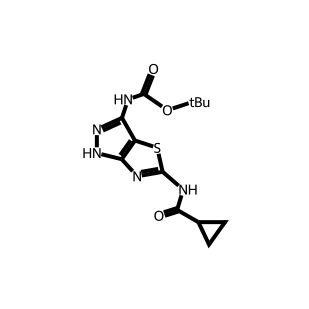 CC(C)(C)OC(=O)Nc1n[nH]c2nc(NC(=O)C3CC3)sc12